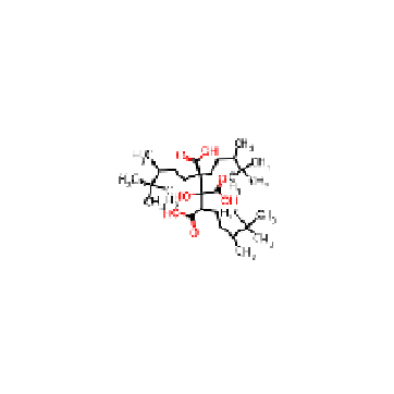 CC(CCC(C(=O)O)C(O)(C(=O)O)C(CCC(C)C(C)(C)C)(CCC(C)C(C)(C)C)C(=O)O)C(C)(C)C